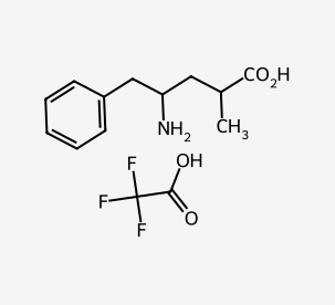 CC(CC(N)Cc1ccccc1)C(=O)O.O=C(O)C(F)(F)F